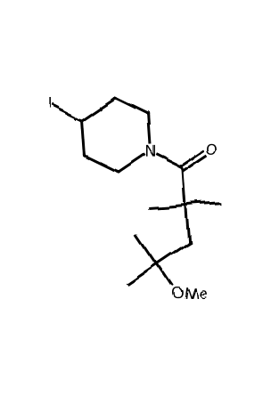 COC(C)(C)CC(C)(C)C(=O)N1CCC(I)CC1